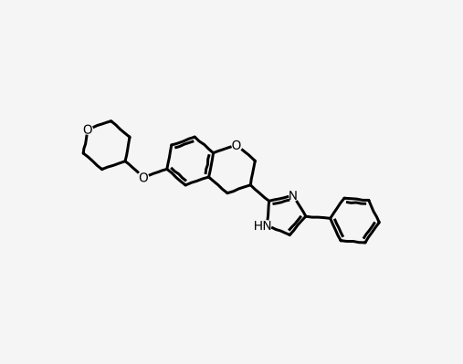 c1ccc(-c2c[nH]c(C3COc4ccc(OC5CCOCC5)cc4C3)n2)cc1